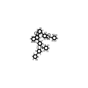 c1ccc(-c2ccc(N(c3ccccc3)c3ccc(-c4cc5c(oc6cccc(-c7ccc8nc(-c9ccccc9)oc8c7)c65)c5ccccc45)cc3)cc2)cc1